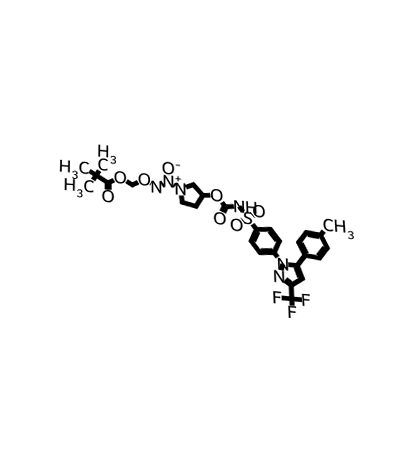 Cc1ccc(-c2cc(C(F)(F)F)nn2-c2ccc(S(=O)(=O)NC(=O)OC3CCN(/[N+]([O-])=N/OCOC(=O)C(C)(C)C)C3)cc2)cc1